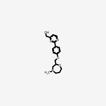 CN1CCCOC(COc2ccc(-c3nccc(CO)n3)cc2)C1